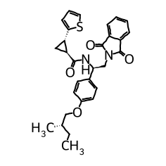 CC[C@H](C)COc1ccc([C@H](CN2C(=O)c3ccccc3C2=O)NC(=O)[C@H]2C[C@@H]2c2cccs2)cc1